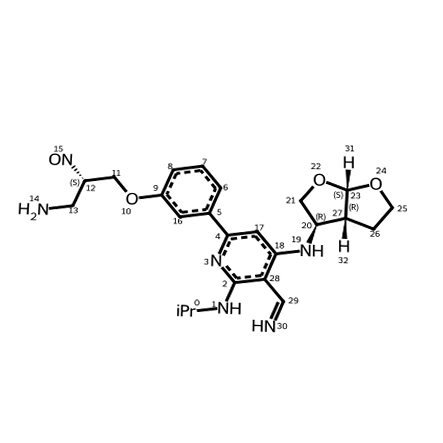 CC(C)Nc1nc(-c2cccc(OC[C@H](CN)N=O)c2)cc(N[C@H]2CO[C@@H]3OCC[C@@H]32)c1C=N